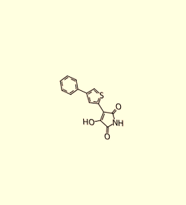 O=C1NC(=O)C(c2cc(-c3ccccc3)cs2)=C1O